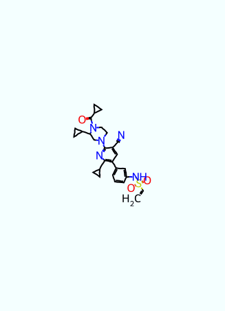 C=CS(=O)(=O)Nc1cccc(-c2cc(C#N)c(N3CCN(C(=O)C4CC4)C(C4CC4)C3)nc2C2CC2)c1